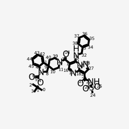 CC(C)(C)OC(=O)N1CC2(CCN(C(=O)c3cnc4c(C(=O)NS(C)(=O)=O)cnn4c3NCc3ccccc3)CC2)c2ccccc21